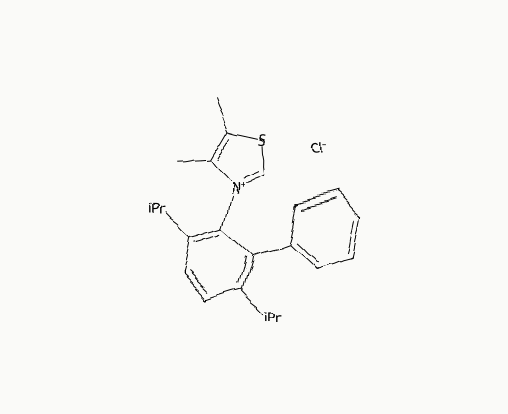 Cc1sc[n+](-c2c(C(C)C)ccc(C(C)C)c2-c2ccccc2)c1C.[Cl-]